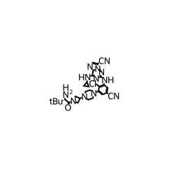 CC(C)(C)[C@H](N)C(=O)N1CC(N2CCN(c3cc(C#N)cc(Nc4nc(NC5CC5)c5ncc(C#N)n5n4)c3Cl)CC2)C1